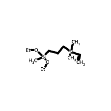 C=C[Si](C)(C)CCC[Si](C)(OCC)OCC